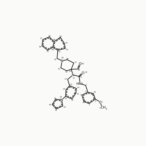 COc1cccc(CNC(=O)N(Cc2cccc(-n3cccc3)c2)C2(C=O)CCN(Cc3cccc4ccccc34)CC2)c1